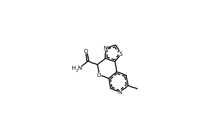 Cc1cc2c(cn1)OC(C(N)=O)c1n[c]sc1-2